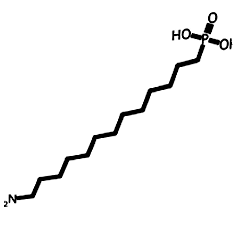 NCCCCCCCCCCCCCP(=O)(O)O